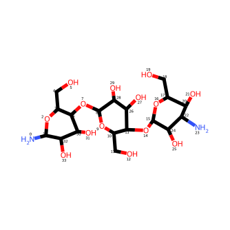 NC1OC(CO)C(OC2OC(CO)C(OC3OC(CO)C(O)C(N)C3O)C(O)C2O)C(O)C1O